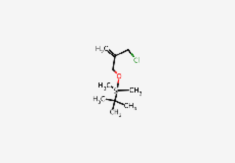 C=C(CCl)CO[Si](C)(C)C(C)(C)C